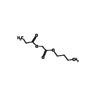 CCCCOC(=O)COC(=O)CC